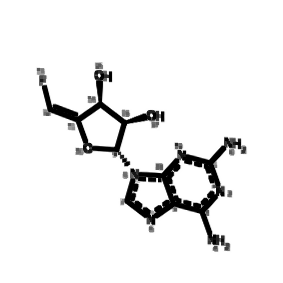 Nc1nc(N)c2ncn([C@@H]3O/C(=C/F)[C@@H](O)[C@H]3O)c2n1